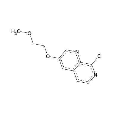 COCCOc1cnc2c(Cl)nccc2c1